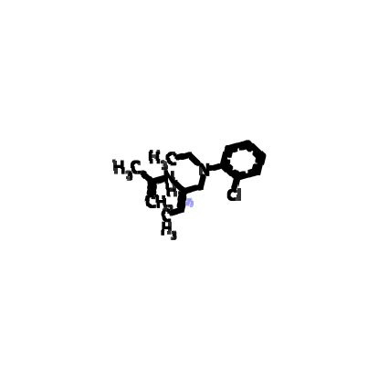 C=C(C)N/C(=C\C)CN(CC)c1ccccc1Cl